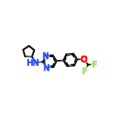 FC(F)Oc1ccc(-c2cnc(NC3CCCC3)nc2)cc1